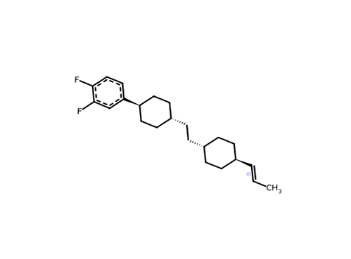 C/C=C/[C@H]1CC[C@H](CC[C@H]2CC[C@H](c3ccc(F)c(F)c3)CC2)CC1